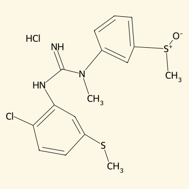 CSc1ccc(Cl)c(NC(=N)N(C)c2cccc([S+](C)[O-])c2)c1.Cl